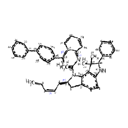 C=C/C=C\C=C1/Cc2ccc3c(c2N1C(=C)/N=C1/C=CC=C/C1=C(/C)c1ccc(-c2ccccc2)cc1)C(C)(C)C(c1ccccc1)N3